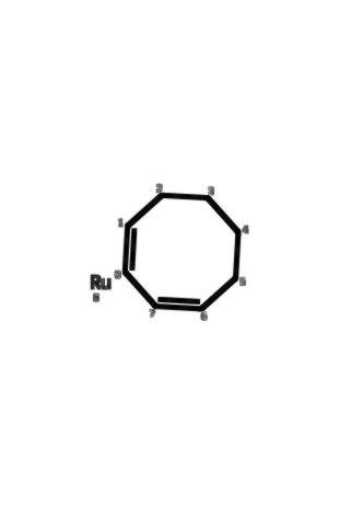 C1=CCCCCC=C1.[Ru]